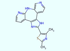 Cc1nc(C)c(-c2nc3c([nH]2)-c2ccncc2Nc2ncccc2-3)s1